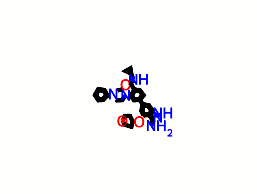 Nc1n[nH]c2cc(-c3ccc(C(=O)NC4CC4)c(N4CCN(c5ccccc5)CC4)c3)cc(OC3CCOCC3)c12